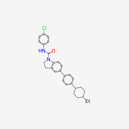 CCC1CCC(c2ccc(-c3ccc4c(c3)CCN4C(=O)Nc3ccc(Cl)cc3)cc2)CC1